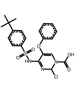 CC(C)(C)c1ccc(S(=O)(=O)NC2=NC(Cl)N(C(=O)O)C=C2Oc2ccccc2)cc1